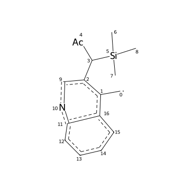 [CH2]c1c(C(C(C)=O)[Si](C)(C)C)cnc2ccccc12